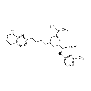 CN(C)C(=O)CN(CCCCc1ccc2c(n1)NCCC2)CC[C@H](Nc1ccnc(C(F)(F)F)n1)C(=O)O